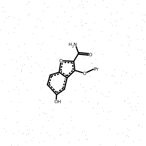 CC(C)Oc1c(C(N)=O)oc2ccc(O)cc12